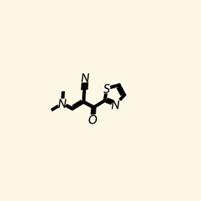 CN(C)C=C(C#N)C(=O)c1nccs1